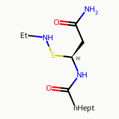 CCCCCCCC(=O)N[C@H](CC(N)=O)SNCC